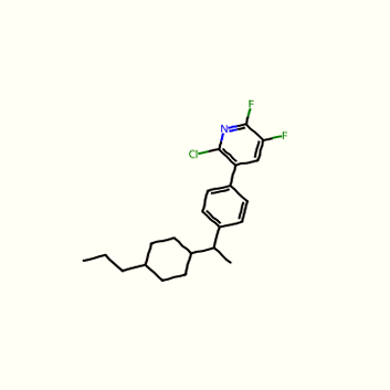 CCCC1CCC(C(C)c2ccc(-c3cc(F)c(F)nc3Cl)cc2)CC1